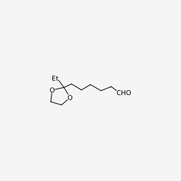 CCC1(CCCCCC=O)OCCO1